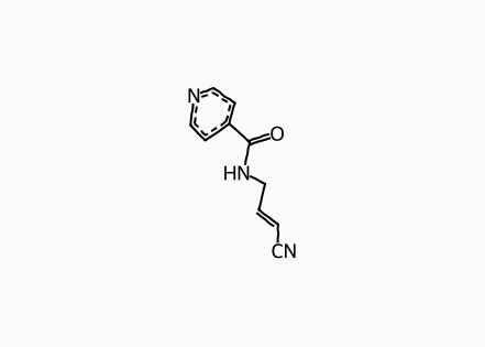 N#CC=CCNC(=O)c1ccncc1